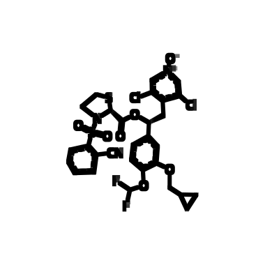 N#Cc1ccccc1S(=O)(=O)N1CCS[C@H]1C(=O)O[C@@H](Cc1c(Cl)c[n+]([O-])cc1Cl)c1ccc(OC(F)F)c(OCC2CC2)c1